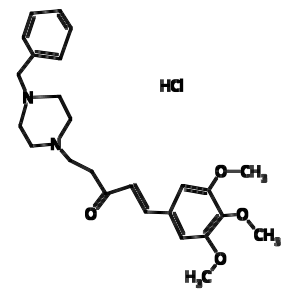 COc1cc(C=CC(=O)CCN2CCN(Cc3ccccc3)CC2)cc(OC)c1OC.Cl